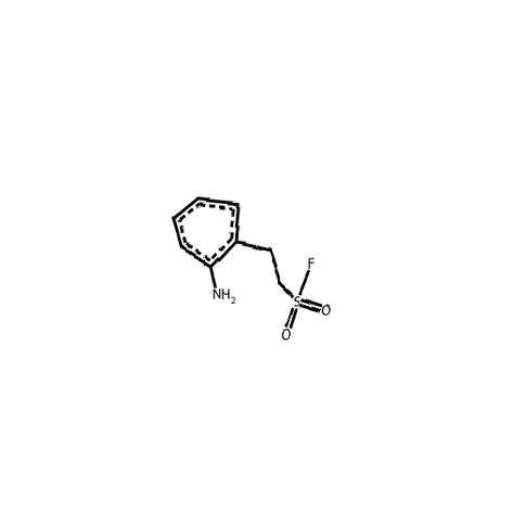 Nc1ccccc1CCS(=O)(=O)F